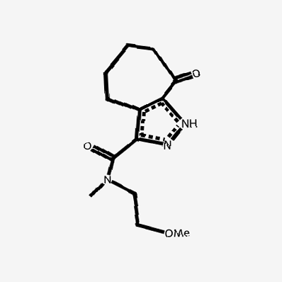 COCCN(C)C(=O)c1n[nH]c2c1CCCCC2=O